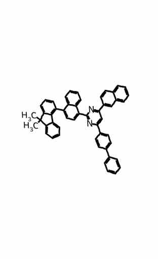 CC1(C)c2ccccc2-c2c(-c3ccc(-c4nc(-c5ccc(-c6ccccc6)cc5)cc(-c5ccc6ccccc6c5)n4)c4ccccc34)cccc21